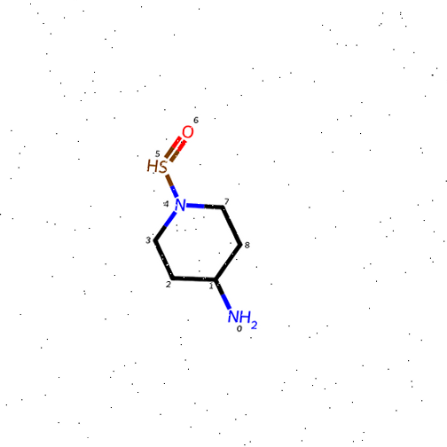 NC1CCN([SH]=O)CC1